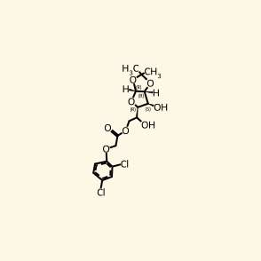 CC1(C)O[C@H]2O[C@H](C(O)COC(=O)COc3ccc(Cl)cc3Cl)[C@H](O)[C@H]2O1